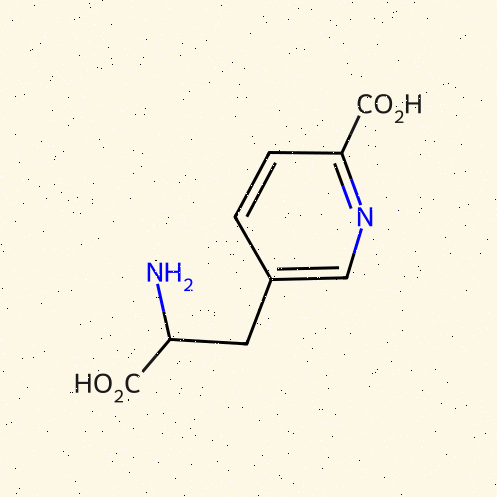 NC(Cc1ccc(C(=O)O)nc1)C(=O)O